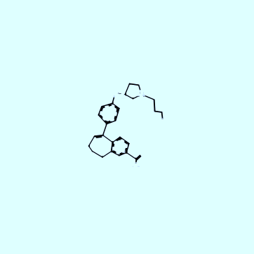 O=C(O)c1ccc2c(c1)CCCC=C2c1ccc(O[C@H]2CCN(CCCF)C2)cc1